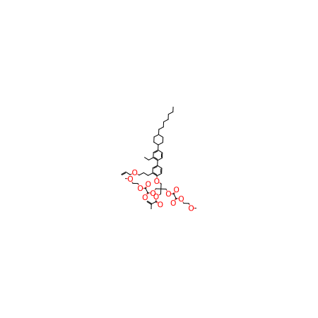 C=CCOCCCc1cc(-c2ccc(C3CCC(CCCCCCC)CC3)cc2CC)ccc1OCC(COC(=O)C(=C)C)(COC(=O)C(=O)OCCOC)COC(=O)C(=O)OCCOC